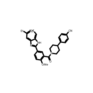 C=C(/C=c1/nc(-c2ccc(OC)c(C(=O)N3CCC(c4ccc(C#N)cc4)CC3)c2)[nH]/c1=C/C)CC